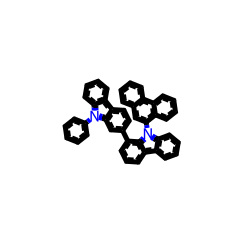 c1ccc(-n2c3ccccc3c3ccc(-c4cccc5c6ccccc6n(-c6cc7ccccc7c7ccccc67)c45)cc32)cc1